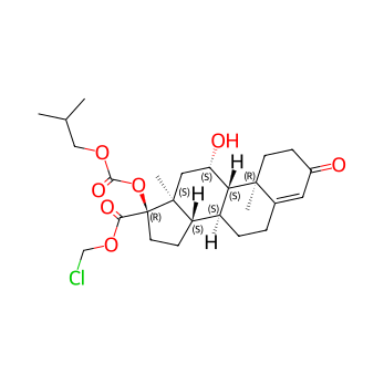 CC(C)COC(=O)O[C@]1(C(=O)OCCl)CC[C@H]2[C@@H]3CCC4=CC(=O)CC[C@]4(C)[C@H]3[C@@H](O)C[C@@]21C